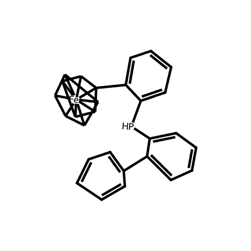 c1ccc(-c2ccccc2Pc2ccccc2[C]23[CH]4[CH]5[CH]6[CH]2[Fe]56432789[CH]3[CH]2[CH]7[CH]8[CH]39)cc1